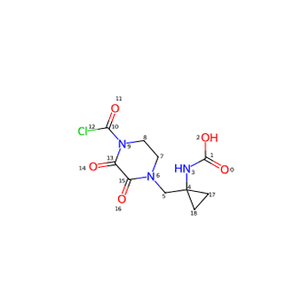 O=C(O)NC1(CN2CCN(C(=O)Cl)C(=O)C2=O)CC1